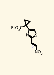 CCOC(=O)C1(c2csc(/C=C/[N+](=O)[O-])n2)CC1